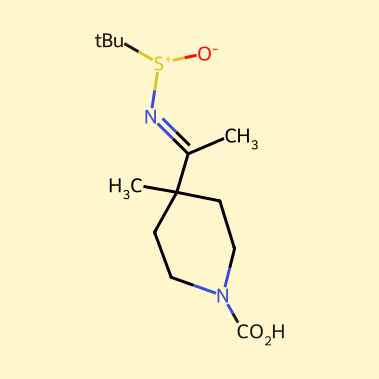 CC(=N[S+]([O-])C(C)(C)C)C1(C)CCN(C(=O)O)CC1